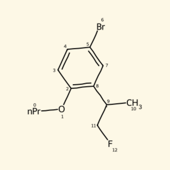 CCCOc1ccc(Br)cc1[C](C)CF